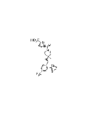 CN(Cc1ccc(C(F)(F)F)cc1-c1nccs1)C1(C)CCN(C(=O)n2ccc(C(=O)O)n2)CC1